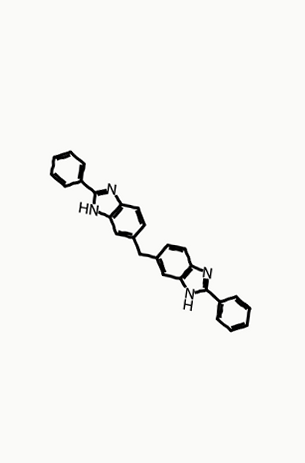 c1ccc(-c2nc3ccc(Cc4ccc5nc(-c6ccccc6)[nH]c5c4)cc3[nH]2)cc1